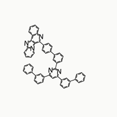 c1ccc(-c2cccc(-c3cc(-c4cccc(-c5ccccc5)c4)nc(-c4cccc(-c5ccc(-c6nc7ccccc7c7nc8ccccn8c67)cc5)c4)n3)c2)cc1